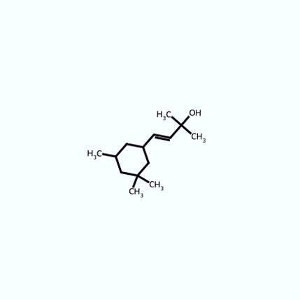 CC1CC(C=CC(C)(C)O)CC(C)(C)C1